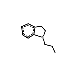 CCCN1CCc2cccnc21